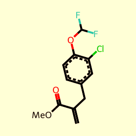 C=C(Cc1ccc(OC(F)F)c(Cl)c1)C(=O)OC